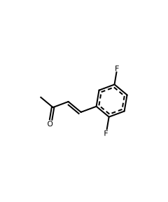 CC(=O)/C=C/c1cc(F)ccc1F